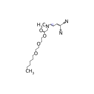 CCCCCCOCCOCCOC(=O)CN(C)/C=C/C=C(C#N)C#N